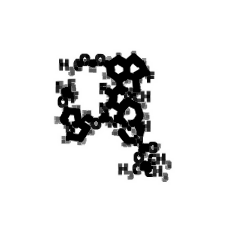 C#Cc1c(F)ccc2cc(OCOC)cc(-c3nc4c5c(nc(OC[C@@]67CCCN6C[C@@H](OC(F)(F)F)C7)nc5c3F)N3CCN(C(=O)OC(C)(C)C)C[C@H]3CC4)c12